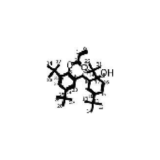 C=CC(=O)Oc1c(CC2C=C(C(C)(C)C)C=CC2(O)C(C)(C)C)cc(C(C)(C)C)cc1C(C)(C)C